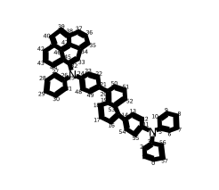 c1ccc(N(c2ccccc2)c2ccc(-c3cccc4c(-c5ccc(N(c6ccccc6)c6cc7cccc8ccc9cccc6c9c87)cc5)cccc34)cc2)cc1